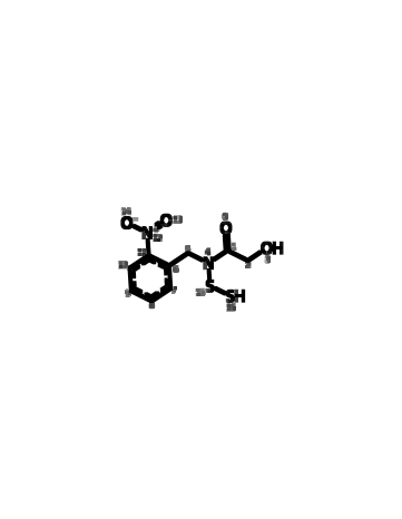 O=C(CO)N(Cc1ccccc1[N+](=O)[O-])SS